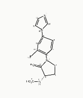 O=C(O)N[C@H]1CCN(c2ccc(-n3ccnc3)cc2F)C1=O